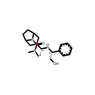 C[C@@H](N[C@@H](CO)c1ccccc1)C1CC2CCC(C1)N2C(=O)N(C)C